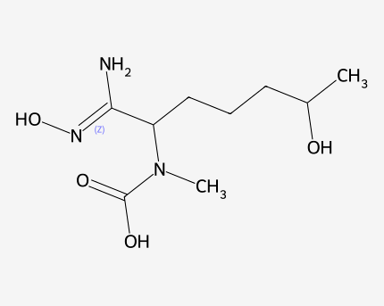 CC(O)CCCC(/C(N)=N/O)N(C)C(=O)O